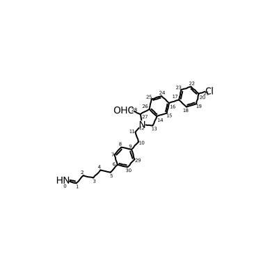 N=CCCCCc1ccc(CCN2Cc3cc(-c4ccc(Cl)cc4)ccc3C2C=O)cc1